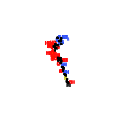 CC[C@H](O)CCSCCNC(=O)CCNC(=O)[C@H](O)C(C)(C)COP(=O)(O)OP(=O)(O)OC[C@H]1O[C@@H](n2cnc3c(N)ncnc32)[C@H](O)[C@@H]1OP(=O)(O)O